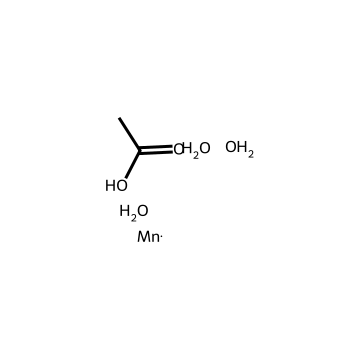 CC(=O)O.O.O.O.[Mn]